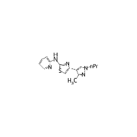 CCCn1cc(-c2csc(Nc3ccccn3)n2)c(C)n1